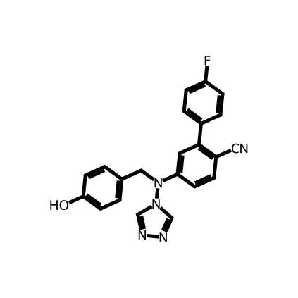 N#Cc1ccc(N(Cc2ccc(O)cc2)n2cnnc2)cc1-c1ccc(F)cc1